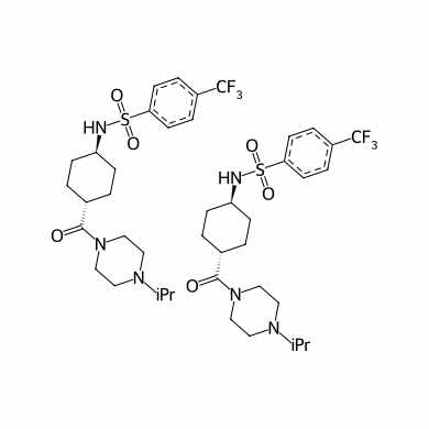 CC(C)N1CCN(C(=O)[C@H]2CC[C@H](NS(=O)(=O)c3ccc(C(F)(F)F)cc3)CC2)CC1.CC(C)N1CCN(C(=O)[C@H]2CC[C@H](NS(=O)(=O)c3ccc(C(F)(F)F)cc3)CC2)CC1